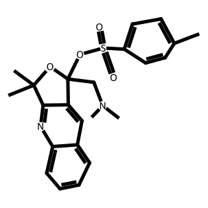 Cc1ccc(S(=O)(=O)OC2(CN(C)C)OC(C)(C)c3nc4ccccc4cc32)cc1